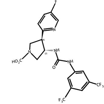 O=C(Nc1cc(C(F)(F)F)cc(C(F)(F)F)c1)N[C@@H]1CN(C(=O)O)C[C@H]1c1ccc(F)cn1